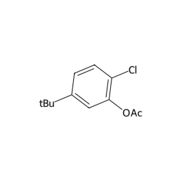 CC(=O)Oc1cc(C(C)(C)C)ccc1Cl